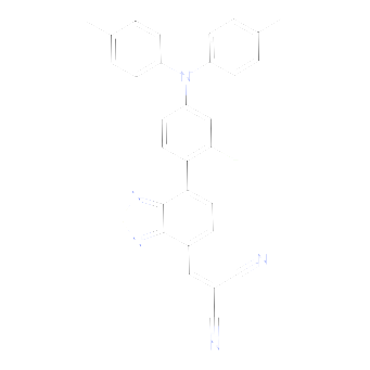 Cc1ccc(N(c2ccc(C)cc2)c2ccc(-c3ccc(C=C(C#N)C#N)c4nsnc34)c(F)c2)cc1